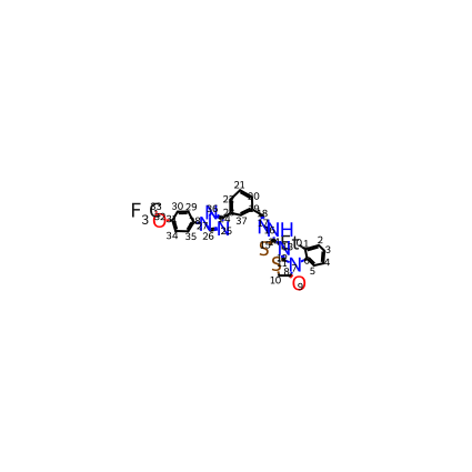 CCc1ccccc1N1C(=O)CS/C1=N\C(=S)N/N=C/c1cccc(-c2ncn(-c3ccc(OC(F)(F)F)cc3)n2)c1